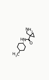 C[C@H]1CC[C@H](NC(=O)C2(CN)CC2)CC1